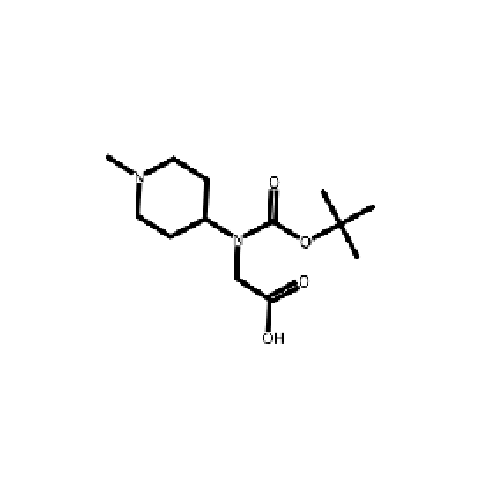 CN1CCC(N(CC(=O)O)C(=O)OC(C)(C)C)CC1